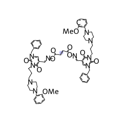 COc1ccccc1N1CCN(CCCn2c(=O)c(C=NOC(=O)/C=C/C(=O)ON=Cc3cn(Cc4ccccc4)c(=O)n(CCCN4CCN(c5ccccc5OC)CC4)c3=O)cn(Cc3ccccc3)c2=O)CC1